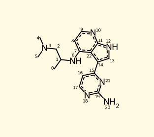 CC(CN(C)C)Nc1ccnc2[nH]cc(-c3ccnc(N)n3)c12